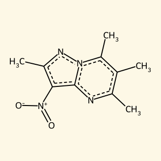 Cc1nc2c([N+](=O)[O-])c(C)nn2c(C)c1C